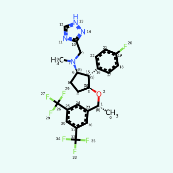 C[C@@H](O[C@H]1CC[C@@H](N(C)Cc2nc[nH]n2)[C@@H]1c1ccc(F)cc1)c1cc(C(F)(F)F)cc(C(F)(F)F)c1